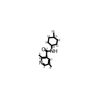 Cc1cnc(C)c(C(=O)NC2CCC(C)CC2)c1